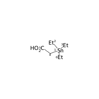 C[CH2][Sn]([CH2]C)([CH2]C)[CH2]C(=O)O